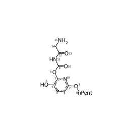 CCCCCOc1ccc(O)c(OC(=O)NC(=O)CN)n1